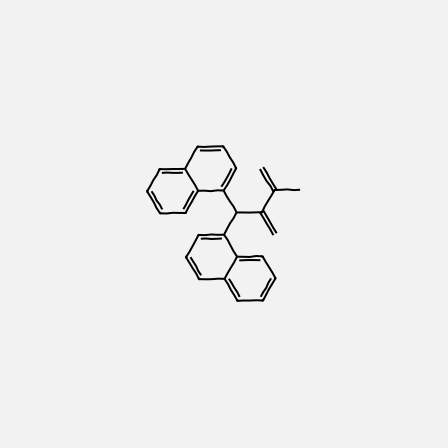 C=C(C)C(=C)C(c1cccc2ccccc12)c1cccc2ccccc12